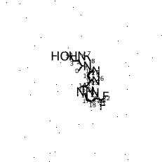 CC1C(CCO)NCCN1c1cc(-c2cnc3ccc(C(F)F)nn23)ncn1